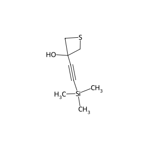 C[Si](C)(C)C#CC1(O)CSC1